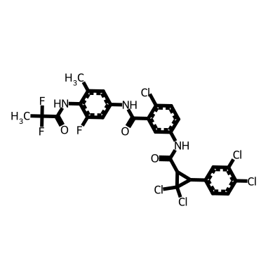 Cc1cc(NC(=O)c2cc(NC(=O)C3C(c4ccc(Cl)c(Cl)c4)C3(Cl)Cl)ccc2Cl)cc(F)c1NC(=O)C(C)(F)F